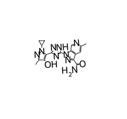 Cc1cc2c(C(N)=O)nn(-c3nc(-c4c(O)c(C)nn4C4CC4)n[nH]3)c2cn1